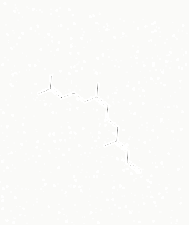 CC(C)=CCC/C(C)=C\CC/C(C)=C/C=O